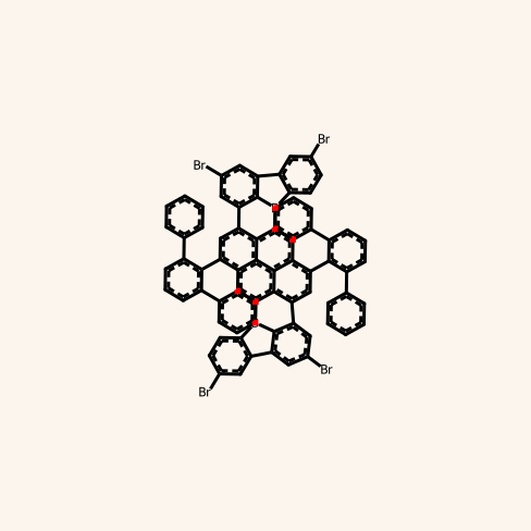 Brc1ccc2c(c1)-c1cc(Br)cc3c1B2c1cc2c(-c4c(-c5ccccc5)cccc4-c4ccccc4)cc4c5c(cc6c(-c7c(-c8ccccc8)cccc7-c7ccccc7)cc-3c1c6c25)B1c2ccc(Br)cc2-c2cc(Br)cc-4c21